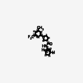 Cc1cc(N2CC[C@H](C(=O)N[C@@H]3C[C@@H]4CC[C@H]3C4)C2)nc(C(F)(F)F)c1